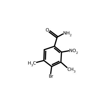 Cc1cc(C(N)=O)c([N+](=O)[O-])c(C)c1Br